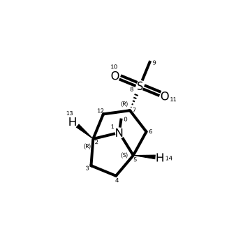 CN1[C@@H]2CC[C@H]1C[C@@H](S(C)(=O)=O)C2